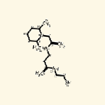 C=C(CCNC(=C)CN1C(C)CCCC1C)NCCS